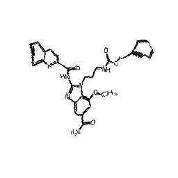 COc1cc(C(N)=O)cc2nc(NC(=O)c3ccc4ccccc4n3)n(CCCNC(=O)OCc3ccccc3)c12